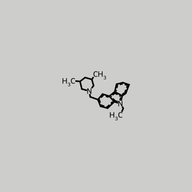 CCn1c2ccccc2c2cc(CN3CC(C)CC(C)C3)ccc21